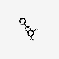 Cc1cc(O)cc2sc(-c3ccccn3)nc12